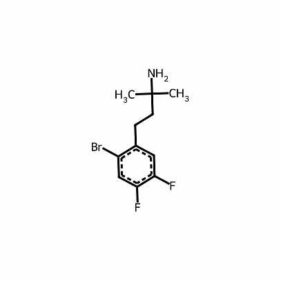 CC(C)(N)CCc1cc(F)c(F)cc1Br